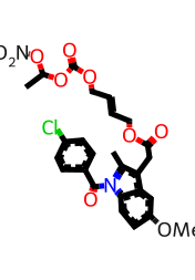 COc1ccc2c(c1)c(CC(=O)OCC=CCOC(=O)OC(C)O[N+](=O)[O-])c(C)n2C(=O)c1ccc(Cl)cc1